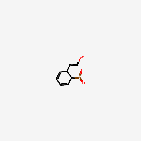 O=S(=O)=C1C=CC=CC1C=CO